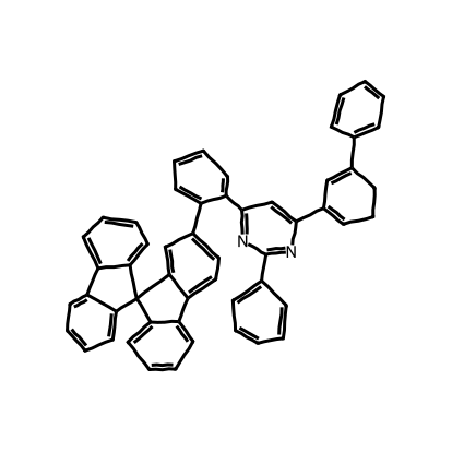 C1=C(c2ccccc2)CCC=C1c1cc(-c2ccccc2-c2ccc3c(c2)C2(c4ccccc4-c4ccccc42)c2ccccc2-3)nc(-c2ccccc2)n1